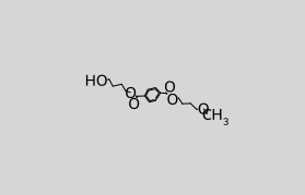 COCCCCOC(=O)c1ccc(C(=O)OCCCCO)cc1